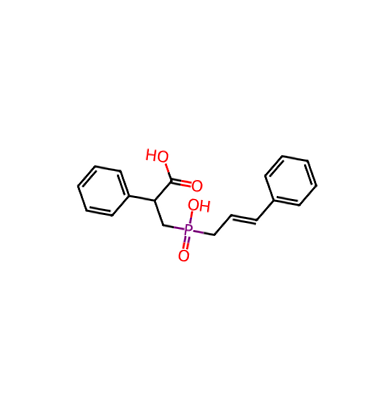 O=C(O)C(CP(=O)(O)CC=Cc1ccccc1)c1ccccc1